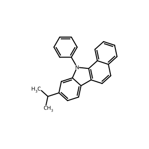 CC(C)c1ccc2c3ccc4ccccc4c3n(-c3ccccc3)c2c1